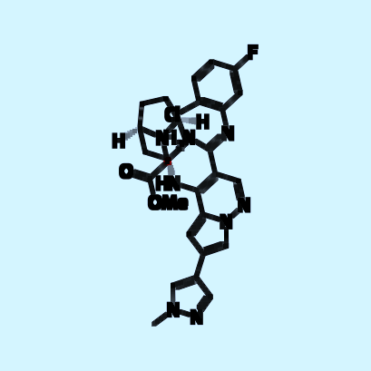 COC(=O)CN1[C@@H]2CC[C@H]1C[C@H](Nc1c(/C(N)=N/c3cc(F)ccc3Cl)cnn3cc(-c4cnn(C)c4)cc13)C2